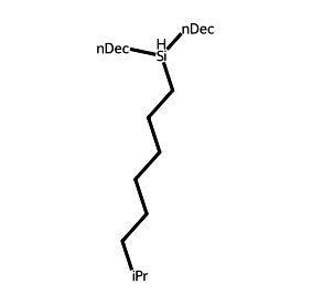 CCCCCCCCCC[SiH](CCCCCCCCCC)CCCCCCC(C)C